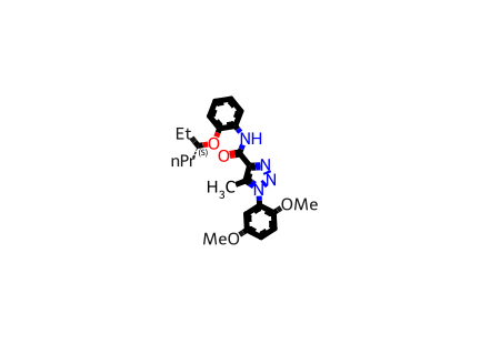 CCC[C@H](CC)Oc1ccccc1NC(=O)c1nnn(-c2cc(OC)ccc2OC)c1C